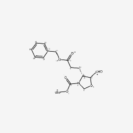 CC(C)(C)OC(=O)N1COC(C=O)[C@H]1CCC(=O)OCc1ccccc1